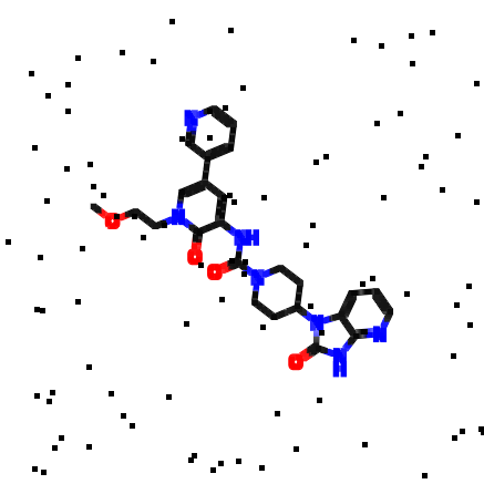 COCCn1cc(-c2cccnc2)cc(NC(=O)N2CCC(n3c(=O)[nH]c4ncccc43)CC2)c1=O